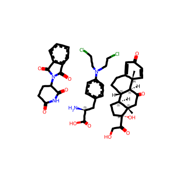 C[C@]12C=CC(=O)C=C1CC[C@@H]1[C@@H]2C(=O)C[C@@]2(C)[C@H]1CC[C@]2(O)C(=O)CO.N[C@@H](Cc1ccc(N(CCCl)CCCl)cc1)C(=O)O.O=C1CCC(N2C(=O)c3ccccc3C2=O)C(=O)N1